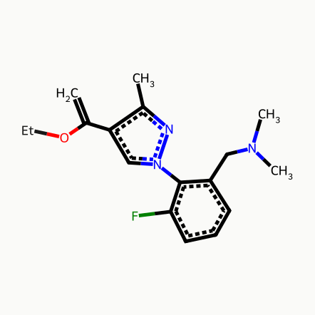 C=C(OCC)c1cn(-c2c(F)cccc2CN(C)C)nc1C